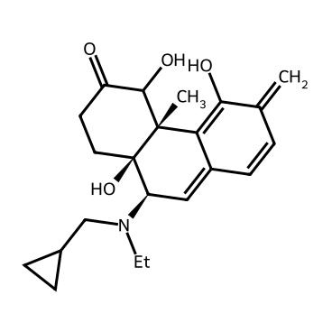 C=c1ccc2c(c1O)[C@@]1(C)C(O)C(=O)CC[C@@]1(O)[C@H](N(CC)CC1CC1)C=2